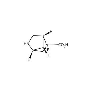 O=C(O)N1C[C@@H]2NC[C@H]1[C@@H]2F